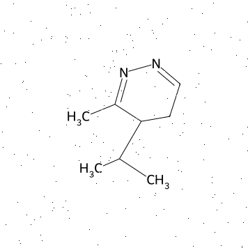 CC1=NN=CCC1C(C)C